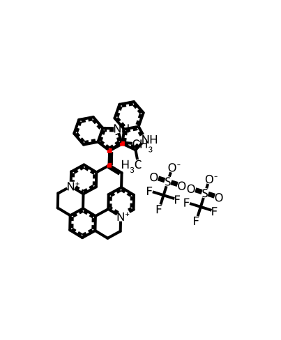 Cc1[nH]c2ccccc2c1/C=C/c1cc[n+]2c(c1)-c1c(ccc3c1-c1cc(/C=C/c4c(C)[nH]c5ccccc45)cc[n+]1CC3)CC2.O=S(=O)([O-])C(F)(F)F.O=S(=O)([O-])C(F)(F)F